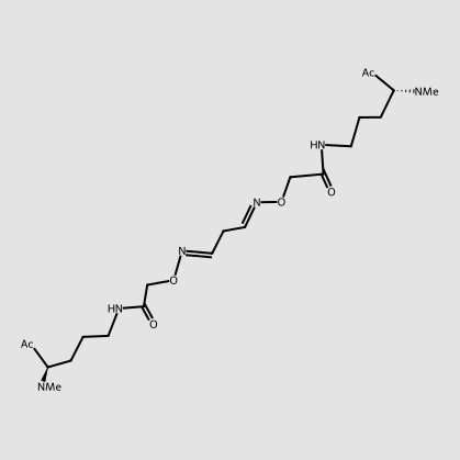 CN[C@H](CCCNC(=O)CO/N=C/C/C=N/OCC(=O)NCCC[C@@H](NC)C(C)=O)C(C)=O